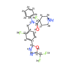 O=C(N(Cc1ccc(-c2nnc(C(F)F)o2)cc1F)c1ccccc1)C1(F)CCNCC1